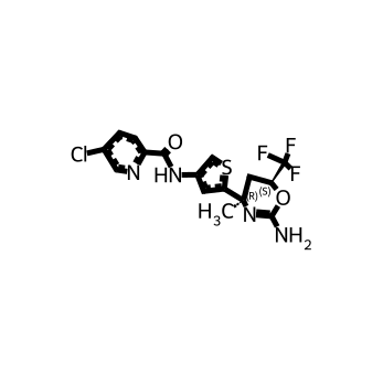 C[C@]1(c2cc(NC(=O)c3ccc(Cl)cn3)cs2)C[C@@H](C(F)(F)F)OC(N)=N1